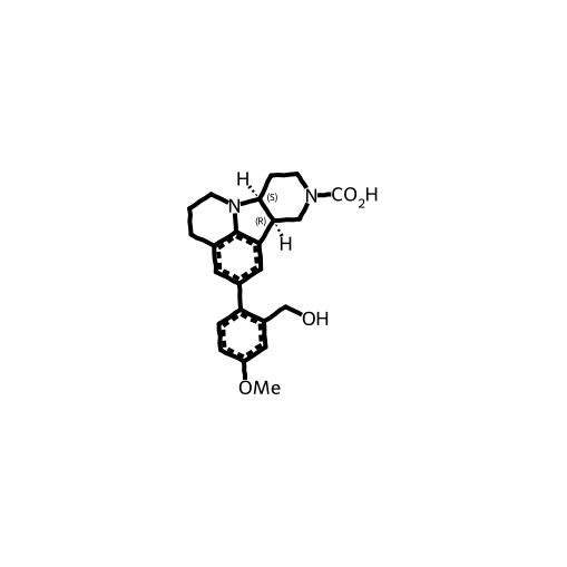 COc1ccc(-c2cc3c4c(c2)[C@@H]2CN(C(=O)O)CC[C@@H]2N4CCC3)c(CO)c1